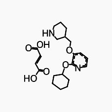 O=C(O)/C=C/C(=O)O.c1cnc(OC2CCCCC2)c(OCC2CCCNC2)c1